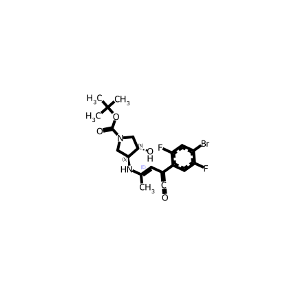 C/C(=C\C(=C=O)c1cc(F)c(Br)cc1F)N[C@H]1CN(C(=O)OC(C)(C)C)C[C@@H]1O